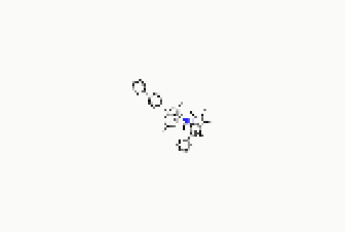 CC1=C(C)C(C)[C]([Hf]([CH3])([NH]C23CC4(C)CC(C)(CC(C)(C4)C2)C3)[SiH2]c2ccccc2)=C1C.c1ccc(-c2ccccc2)cc1